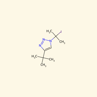 CC(C)(C)c1cn(C(C)(C)I)nn1